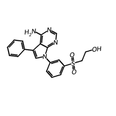 Nc1ncnc2c1c(-c1ccccc1)cn2-c1cccc(S(=O)(=O)CCO)c1